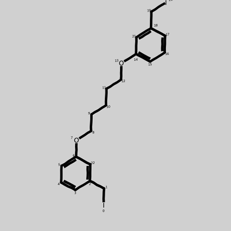 ICc1cccc(OCCCCCOc2cccc(CI)c2)c1